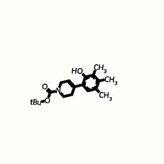 Cc1cc(C2=CCN(C(=O)OC(C)(C)C)CC2)c(O)c(C)c1C